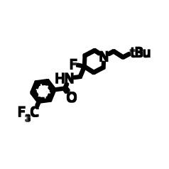 CC(C)(C)CCN1CCC(F)(CNC(=O)c2cccc(C(F)(F)F)c2)CC1